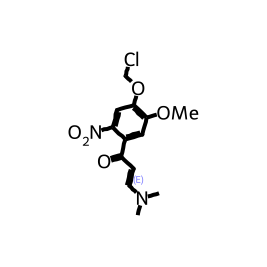 COc1cc(C(=O)/C=C/N(C)C)c([N+](=O)[O-])cc1OCCl